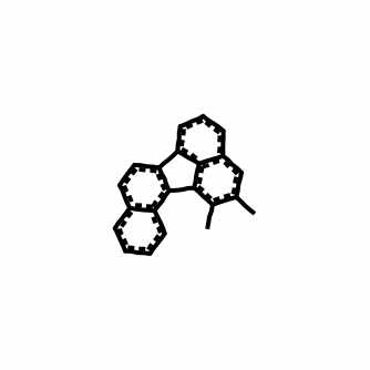 Cc1cc2cccc3c2c(c1C)-c1c-3ccc2ccccc12